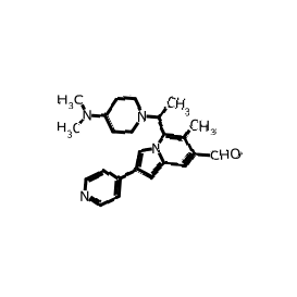 Cc1c([C]=O)cc2cc(-c3ccncc3)cn2c1C(C)N1CCC(N(C)C)CC1